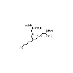 CC(=O)CCCCC(CSSCC(NC(C)=O)C(=O)O)SSCC(NC(C)=O)C(=O)O